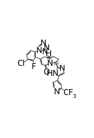 O=C1C=C(c2c(-n3cnnn3)ccc(Cl)c2F)C[C@H]2CC[C@@H](c3ncc(-c4ccnc(C(F)(F)F)c4)[nH]3)N12